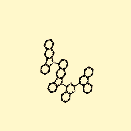 c1ccc2cc3c(cc2c1)c1ccccc1n3-c1cccc2cc3c(cc12)c1ccccc1n3-c1nc(-c2cc3ccccc3c3ccccc23)nc2ccccc12